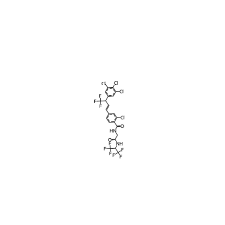 O=C(CNC(=O)c1ccc(/C=C/C(c2cc(Cl)c(Cl)c(Cl)c2)C(F)(F)F)cc1Cl)NC(C(F)(F)F)C(F)(F)F